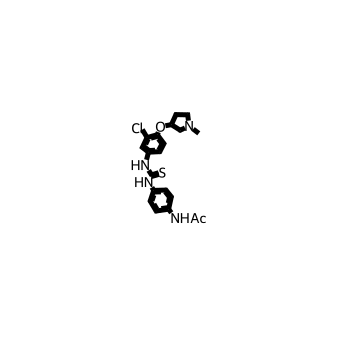 CC(=O)Nc1ccc(NC(=S)Nc2ccc(OC3CCN(C)C3)c(Cl)c2)cc1